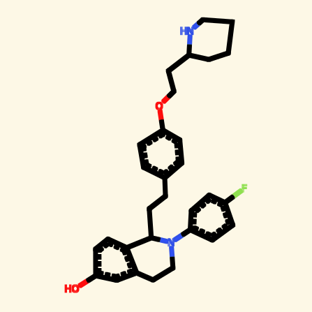 Oc1ccc2c(c1)CCN(c1ccc(F)cc1)C2CCc1ccc(OCCC2CCCCN2)cc1